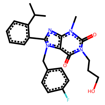 CC(C)c1ccccc1-c1nc2c(c(=O)n(CCCO)c(=O)n2C)n1Cc1ccc(F)cc1